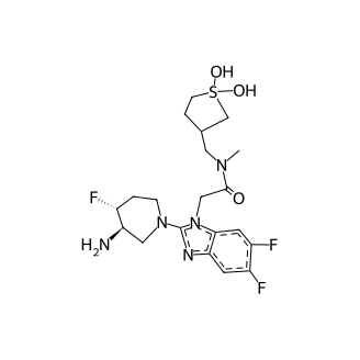 CN(CC1CCS(O)(O)C1)C(=O)Cn1c(N2CC[C@@H](F)[C@H](N)C2)nc2cc(F)c(F)cc21